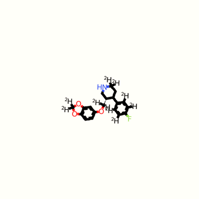 [2H]c1c([2H])c(C2CC([2H])([2H])NC[C@H]2C([2H])([2H])Oc2ccc3c(c2)OC([2H])([2H])O3)c([2H])c([2H])c1F